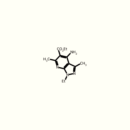 CCOC(=O)c1c(C)nc2c(c(C)nn2CC)c1N